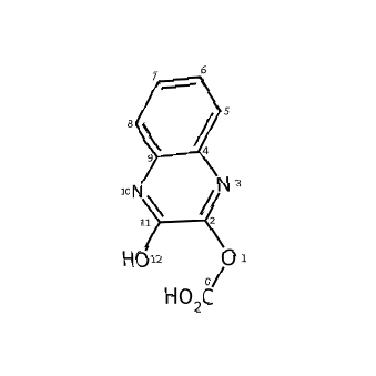 O=C(O)Oc1nc2ccccc2nc1O